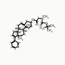 CN(CC(=O)O[C@H]1CC[C@@]2(C)C(=CC[C@@H]3[C@@H]2CC[C@]2(C)C(c4cccnc4)=CC[C@@H]32)C1)C(=O)OC(C)(C)C